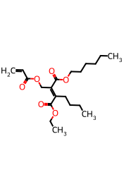 C=CC(=O)OCC(C(=O)OCCCCCC)=C(CCCC)C(=O)OCC